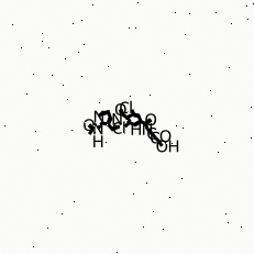 CC(=O)Nc1nccc2c1ccn2C(=O)c1c(Cl)cc(C(=O)NCCC(=O)O)cc1Cl